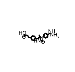 Cc1c(-c2ccc(CCC(=O)O)cc2)[nH]c(=O)n1-c1ccc(C(=N)N)cc1